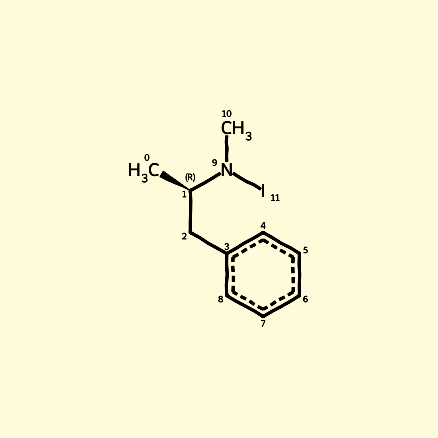 C[C@H](Cc1ccccc1)N(C)I